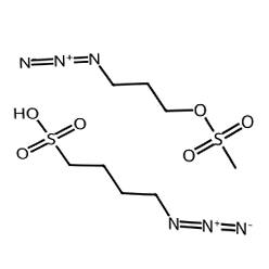 CS(=O)(=O)OCCCN=[N+]=[N-].[N-]=[N+]=NCCCCS(=O)(=O)O